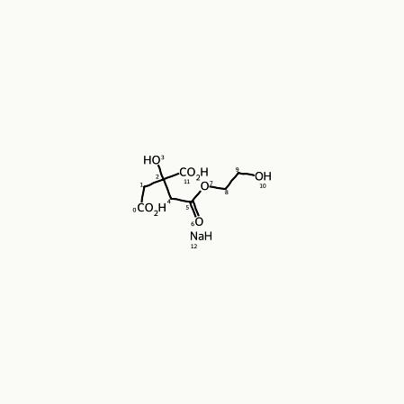 O=C(O)CC(O)(CC(=O)OCCO)C(=O)O.[NaH]